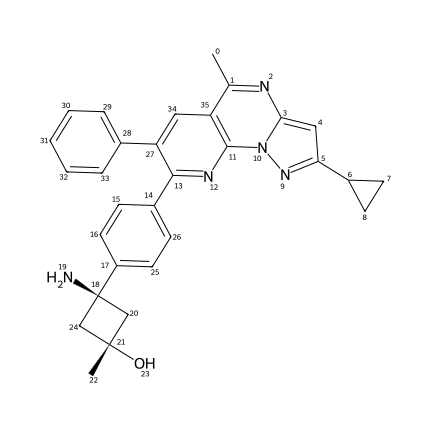 Cc1nc2cc(C3CC3)nn2c2nc(-c3ccc([C@]4(N)C[C@](C)(O)C4)cc3)c(-c3ccccc3)cc12